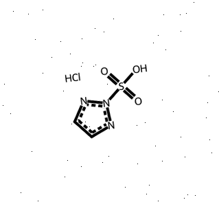 Cl.O=S(=O)(O)n1nccn1